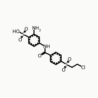 Nc1cc(NC(=O)c2ccc(S(=O)(=O)CCCl)cc2)ccc1S(=O)(=O)O